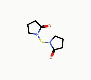 O=C1CCCN1SN1CCCC1=O